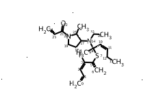 C=C/C=C(/F)C(=C)SC(C)(/C=C\CC)N(CC)C1CCN(C(=O)C=C)C1C